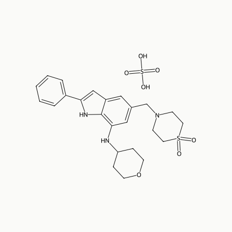 O=S(=O)(O)O.O=S1(=O)CCN(Cc2cc(NC3CCOCC3)c3[nH]c(-c4ccccc4)cc3c2)CC1